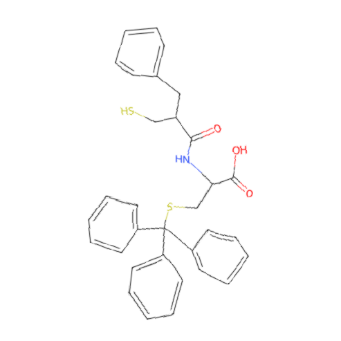 O=C(NC(CSC(c1ccccc1)(c1ccccc1)c1ccccc1)C(=O)O)C(CS)Cc1ccccc1